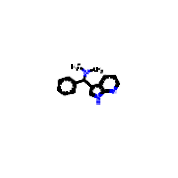 CN(C)C(c1cc[c]cc1)c1c[nH]c2ncccc12